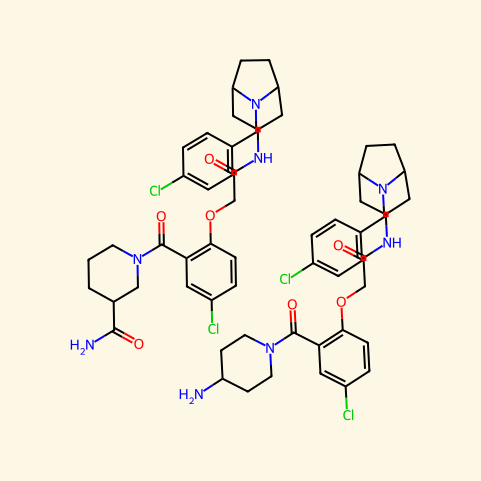 NC(=O)C1CCCN(C(=O)c2cc(Cl)ccc2OCC(=O)NC2CC3CCC(C2)N3Cc2ccc(Cl)cc2)C1.NC1CCN(C(=O)c2cc(Cl)ccc2OCC(=O)NC2CC3CCC(C2)N3Cc2ccc(Cl)cc2)CC1